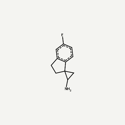 NC1CC12CCc1cc(F)ccc12